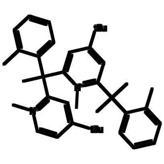 Cc1ccccc1C(C)(C)c1cc(C(C)(C)C)cc(C(C)(c2ccccc2C)c2cc(C(C)(C)C)cc[n+]2C)[n+]1C